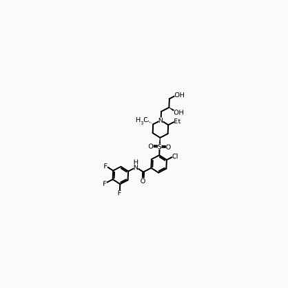 CCC1C[C@@H](S(=O)(=O)c2cc(C(=O)Nc3cc(F)c(F)c(F)c3)ccc2Cl)C[C@H](C)N1C[C@H](O)CO